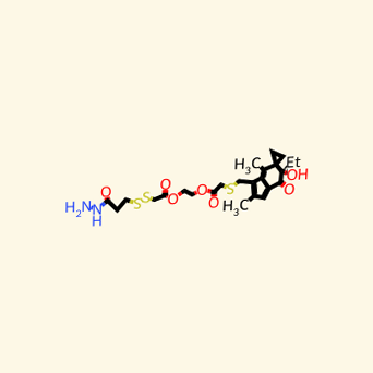 CC[C@]1(O)C(=O)C2=CC(C)=C(CSCC(=O)OCCOC(=O)CSSCCC(=O)NN)C2=C(C)C12CC2